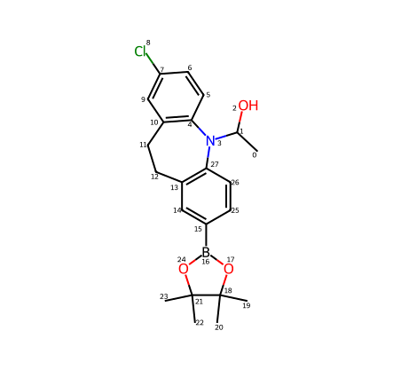 CC(O)N1c2ccc(Cl)cc2CCc2cc(B3OC(C)(C)C(C)(C)O3)ccc21